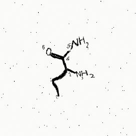 CCC(N)C(N)=O